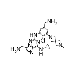 CN1CC2(C1)CN(c1cc(CN)cc(Nc3nc(NC4CC4)c4ncc(CN)n4n3)c1Cl)C2